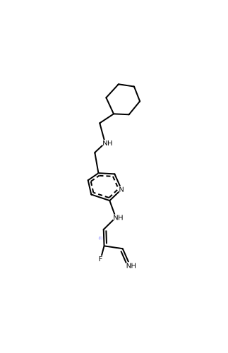 N=C/C(F)=C\Nc1ccc(CNCC2CCCCC2)cn1